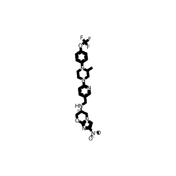 CC1CN(c2ccc(CN[C@@H]3COc4nc([N+](=O)[O-])cn4C3)cn2)CCN1c1ccc(OC(F)(F)F)cc1